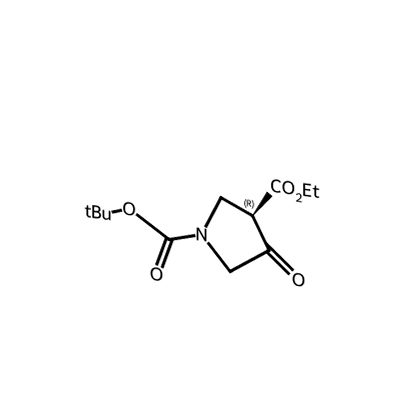 CCOC(=O)[C@@H]1CN(C(=O)OC(C)(C)C)CC1=O